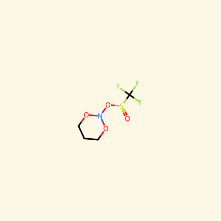 O=S(ON1OCCCO1)C(F)(F)F